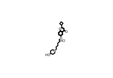 Cl.O=c1cc(C2CCC2)oc2ccc(OCCCCCCN3CCC(O)CC3)cc12